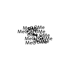 CO[Si](OC)(OC)N(CCN([Si](OC)(OC)OC)[Si](OC)(OC)OC)[Si](OC)(OC)OC